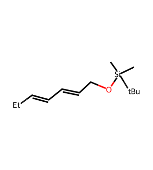 CC/C=C/C=C/CO[Si](C)(C)C(C)(C)C